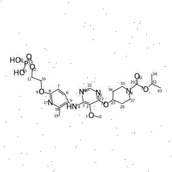 COc1c(Nc2ccc(OCCOP(=O)(O)O)nc2C)ncnc1OC1CCN(C(=O)OC(C)C)CC1